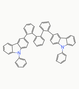 c1ccc(-n2c3ccccc3c3cc(-c4ccccc4-c4ccccc4-c4ccccc4-c4ccc5c(c4)c4ccccc4n5-c4ccccc4)ccc32)cc1